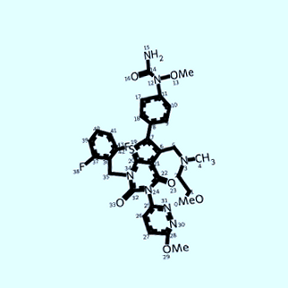 COCCN(C)Cc1c(-c2ccc(N(OC)C(N)=O)cc2)sc2c1c(=O)n(-c1ccc(OC)nn1)c(=O)n2Cc1c(F)cccc1F